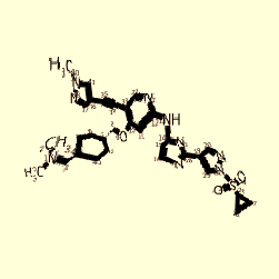 CN(C)C[C@H]1CC[C@H](COc2cc(Nc3ccnc(-c4cnn(S(=O)(=O)C5CC5)c4)n3)ncc2C#Cc2cnn(C)c2)CC1